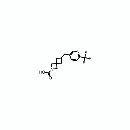 O=C(O)N1CC2(CC(Cc3ccc(C(F)(F)F)nc3)C2)C1